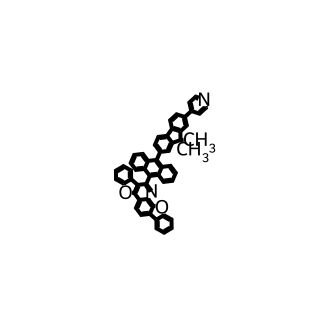 CC1(C)c2cc(-c3ccncc3)ccc2-c2ccc(-c3c4ccccc4c(-c4nc5c(ccc6c7ccccc7oc65)c5oc6ccccc6c45)c4ccccc34)cc21